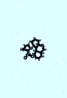 O=[N+]([O-])c1ncc[nH]1.c1ccc2c(c1)cnc1ccccc12